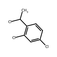 CC(Cl)c1ccc(Cl)cc1Cl